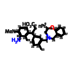 CCCC1CN(Cc2cc(C(CC(=O)O)c3ccc(NC)c(N)c3C)ccc2C)Cc2ccccc2O1